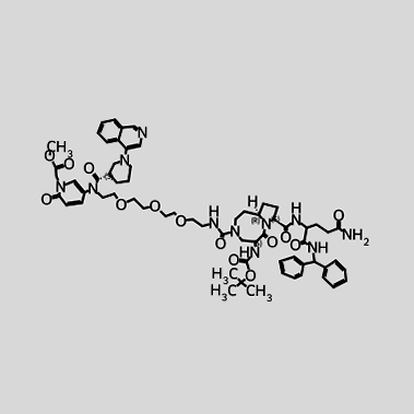 COC(=O)Cn1cc(N(CCOCCOCCOCCNC(=O)N2CC[C@H]3CC[C@@H](C(=O)NC(CCC(N)=O)C(=O)NC(c4ccccc4)c4ccccc4)N3C(=O)[C@@H](NC(=O)OC(C)(C)C)C2)C(=O)[C@H]2CCCN(c3cncc4ccccc34)C2)ccc1=O